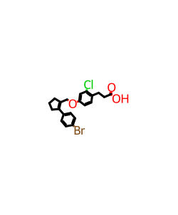 O=C(O)CCc1ccc(OCC2=C(c3ccc(Br)cc3)CCC2)cc1Cl